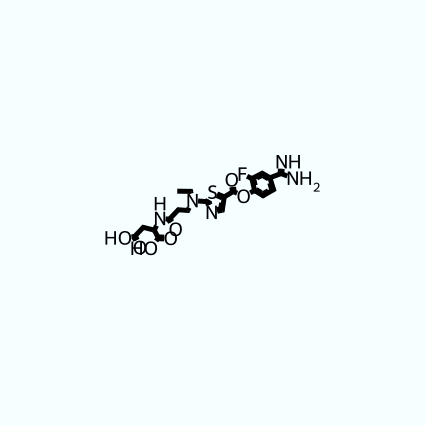 CCN(CCC(=O)NC(CC(=O)O)C(=O)O)c1ncc(C(=O)Oc2ccc(C(=N)N)cc2F)s1